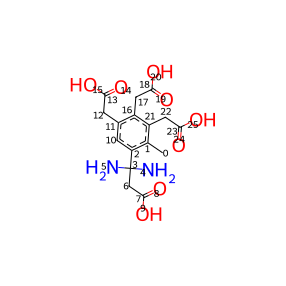 Cc1c(C(N)(N)CC(=O)O)cc(CC(=O)O)c(CC(=O)O)c1CC(=O)O